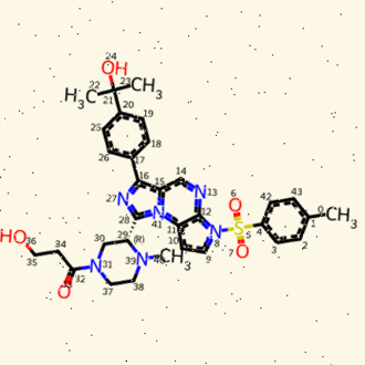 Cc1ccc(S(=O)(=O)n2ccc3c2ncc2c(-c4ccc(C(C)(C)O)cc4)nc([C@H]4CN(C(=O)CCO)CCN4C)n23)cc1